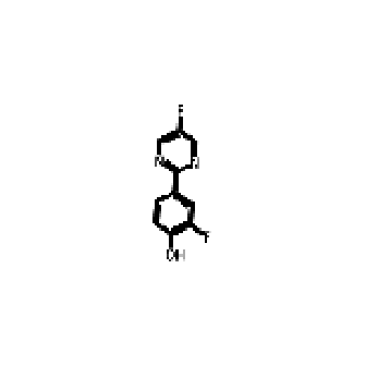 Oc1ccc(-c2ncc(F)cn2)cc1F